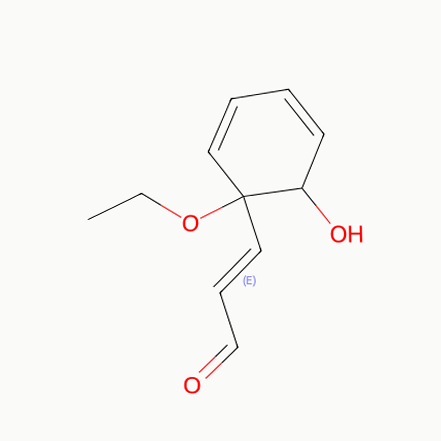 CCOC1(/C=C/C=O)C=CC=CC1O